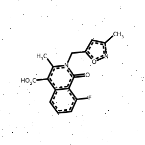 Cc1cc(Cn2c(C)c(C(=O)O)c3cccc(F)c3c2=O)on1